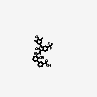 Cc1cc(N2C(=O)C(=NNc3cccc(-c4cccc(C(=O)O)c4)c3O)c3ccc(C(F)(F)F)cc32)cc(C)c1Cl